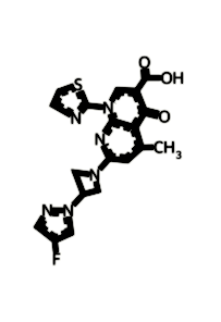 Cc1cc(N2CC(n3cc(F)cn3)C2)nc2c1c(=O)c(C(=O)O)cn2-c1nccs1